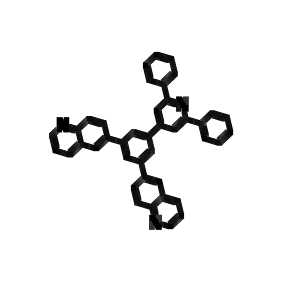 c1ccc(-c2cc(-c3cc(-c4ccc5ncccc5c4)cc(-c4ccc5ncccc5c4)c3)cc(-c3ccccc3)n2)cc1